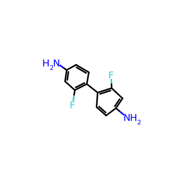 Nc1ccc(-c2ccc(N)cc2F)c(F)c1